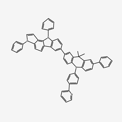 CC1(C)c2cc(-c3ccccc3)ccc2N(c2ccc(-c3ccccn3)cc2)c2ccc(-c3ccc4c(c3)c3ccc5c(ccn5-c5ccccc5)c3n4-c3ccccc3)cc21